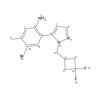 Cc1cc(N)c(-c2ccnn2CC2CC(F)(F)C2)cc1Br